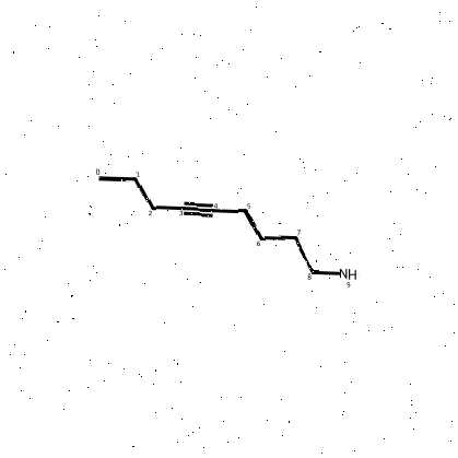 CCCC#CCCCC[NH]